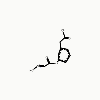 O=C(O)Cc1cccc(NC(=O)/C=N/O)c1